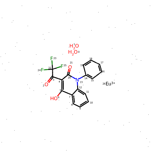 O.O.O=C(c1c(O)c2ccccc2n(-c2ccccc2)c1=O)C(F)(F)F.[Eu+3]